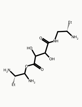 CC[C@H](N)CNC(=O)C(O)C(O)C(=O)OC(N)[C@@H](N)CC